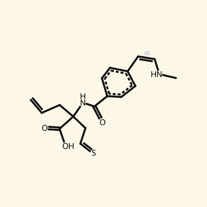 C=CCC(CC=S)(NC(=O)c1ccc(/C=C\NC)cc1)C(=O)O